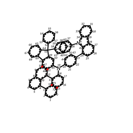 c1ccc(-c2cccc3cccc(-c4ccccc4N(c4ccc(-c5cccc6c7ccccc7n(-c7ccccc7)c56)cc4)c4ccc5c(c4)C(c4ccccc4)(c4ccccc4)c4ccccc4-5)c23)cc1